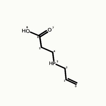 C=CCPCCC(=O)O